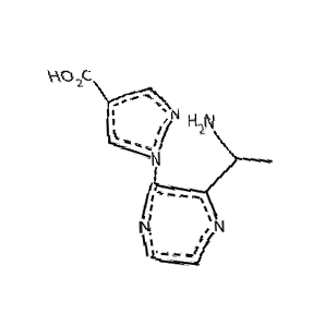 CC(N)c1nccnc1-n1cc(C(=O)O)cn1